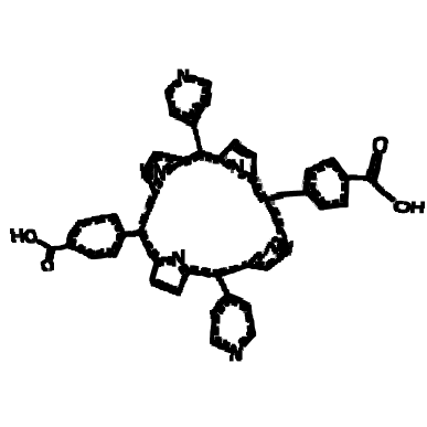 O=C(O)c1ccc(-c2c3nc(c(-c4ccncc4)c4ccc([nH]4)c(-c4ccc(C(=O)O)cc4)c4nc(c(-c5ccncc5)c5ccc2[nH]5)C=C4)C=C3)cc1